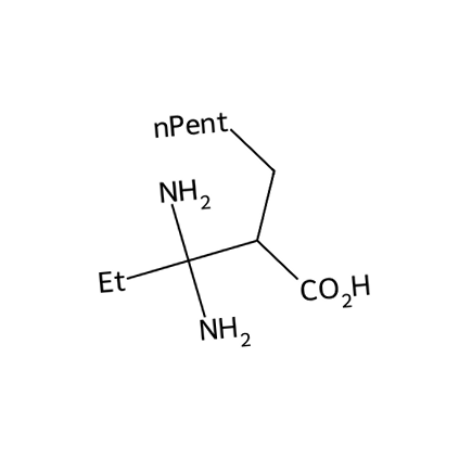 CCCCCCC(C(=O)O)C(N)(N)CC